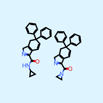 O=C(C1=NCC2=C1C=CC(c1ccccc1)(c1ccccc1)C2)N1CC1.O=C(NC1CC1)C1=NCC2=C1C=CC(c1ccccc1)(c1ccccc1)C2